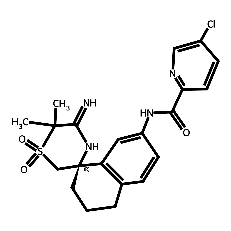 CC1(C)C(=N)N[C@@]2(CCCc3ccc(NC(=O)c4ccc(Cl)cn4)cc32)CS1(=O)=O